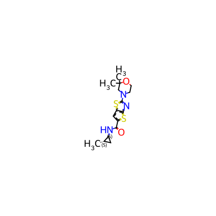 C[C@H]1C[C@@H]1NC(=O)c1cc2sc(N3CCOC(C)(C)C3)nc2s1